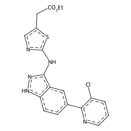 CCOC(=O)Cc1cnc(Nc2n[nH]c3ccc(-c4ncccc4Cl)cc23)s1